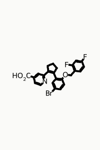 O=C(O)c1ccnc(C2=C(c3cc(Br)ccc3OCc3ccc(F)cc3F)CCC2)c1